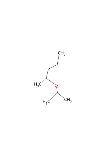 [CH2]CCC(C)OC(C)C